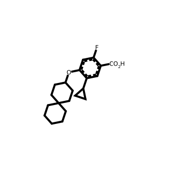 O=C(O)c1cc(C2CC2)c(OC2CCC3(CCCCC3)CC2)cc1F